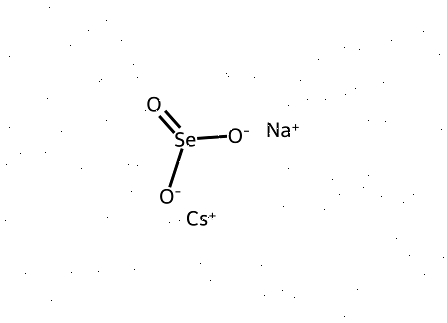 O=[Se]([O-])[O-].[Cs+].[Na+]